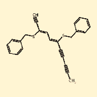 C#C/C(=C/C=C(/C#CC#CC)SCc1ccccc1)SCc1ccccc1